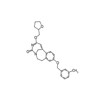 Cc1cccc(COc2ccc3c(c2)CCN2CC3=CC(OCC3CCCO3)=NC2=O)c1